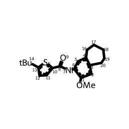 COc1cc2c(cc1NC(=O)c1ccc(C(C)(C)C)s1)CCCCC2